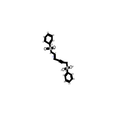 O=S(=O)(CC#C/C=C/CS(=O)(=O)c1ccccc1)c1ccccc1